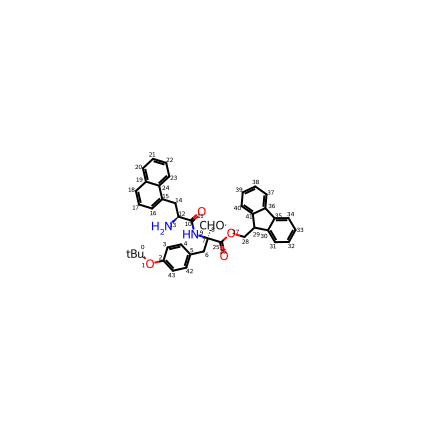 CC(C)(C)Oc1ccc(C[C@@]([C]=O)(NC(=O)[C@@H](N)Cc2cccc3ccccc23)C(=O)OCC2c3ccccc3-c3ccccc32)cc1